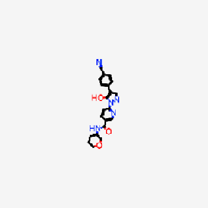 N#Cc1ccc(-c2cnn(-c3ccc(C(=O)NC4CCCOC4)cn3)c2O)cc1